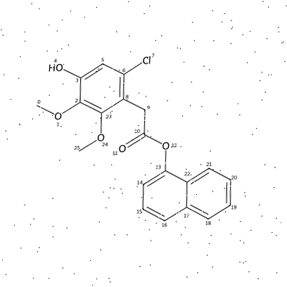 COc1c(O)cc(Cl)c(CC(=O)Oc2cccc3ccccc23)c1OC